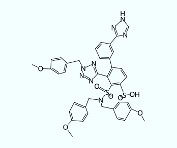 COc1ccc(CN(Cc2ccc(OC)cc2)S(=O)(=O)c2c(S(=O)O)ccc(-c3cccc(-c4nc[nH]n4)c3)c2-c2nnn(Cc3ccc(OC)cc3)n2)cc1